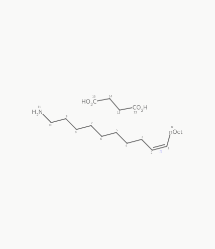 CCCCCCCC/C=C\CCCCCCCCN.O=C(O)CCC(=O)O